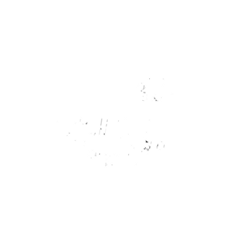 CC(C)(C)OC(=O)NC(C(=O)O)C(c1ccc(B2OC(C)(C)C(C)(C)O2)cc1[N+](=O)[O-])C(C)(C)C